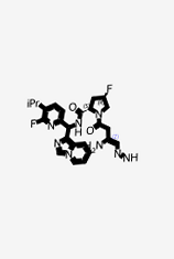 CC(C)c1ccc(C(NC(=O)[C@@H]2C[C@@H](F)CN2C(=O)C/C(N)=C/N=N)c2ncn3ccccc23)nc1F